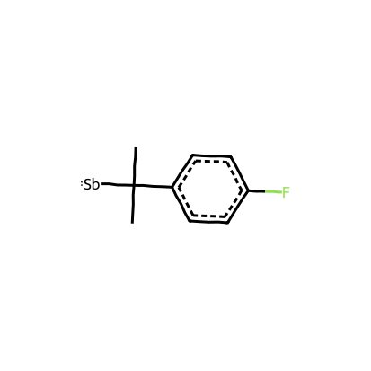 C[C](C)([Sb])c1ccc(F)cc1